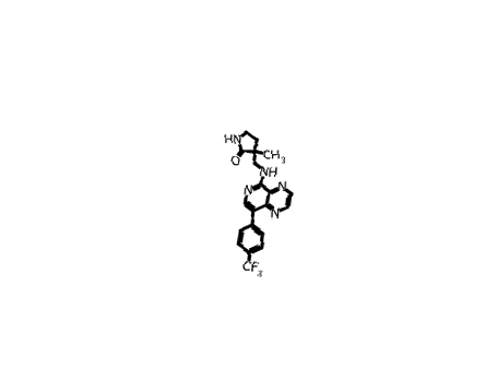 CC1(CNc2ncc(-c3ccc(C(F)(F)F)cc3)c3nccnc23)CCNC1=O